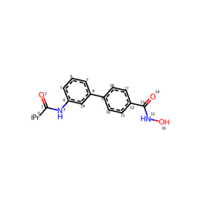 CC(C)C(=O)Nc1cccc(-c2ccc(C(=O)NO)cc2)c1